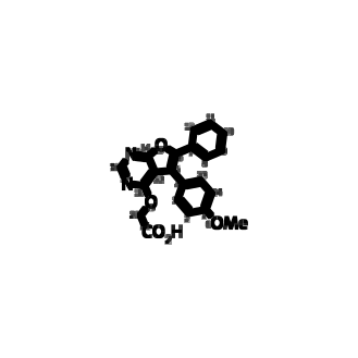 COc1ccc(-c2c(-c3ccccc3)oc3ncnc(OCC(=O)O)c23)cc1